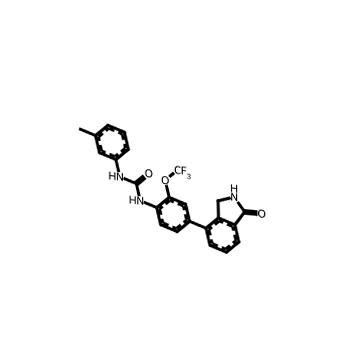 Cc1cccc(NC(=O)Nc2ccc(-c3cccc4c3CNC4=O)cc2OC(F)(F)F)c1